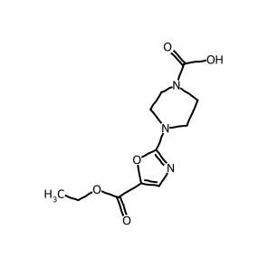 CCOC(=O)c1cnc(N2CCN(C(=O)O)CC2)o1